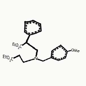 CCOC(=O)CCN(Cc1ccc(OC)cc1)CC(C(=O)OCC)c1ccccc1